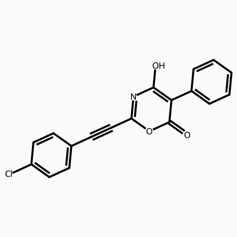 O=c1oc(C#Cc2ccc(Cl)cc2)nc(O)c1-c1ccccc1